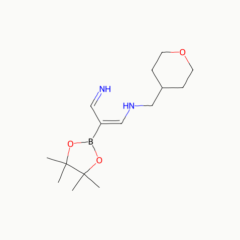 CC1(C)OB(/C(C=N)=C/NCC2CCOCC2)OC1(C)C